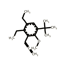 C=C=Cc1c(CC)c(CC)cc(C(C)(C)C)c1OC